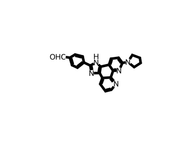 O=Cc1ccc(-c2nc3c4cccnc4c4nc(N5CCCC5)ccc4c3[nH]2)cc1